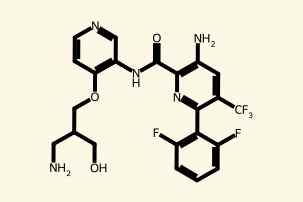 NCC(CO)COc1ccncc1NC(=O)c1nc(-c2c(F)cccc2F)c(C(F)(F)F)cc1N